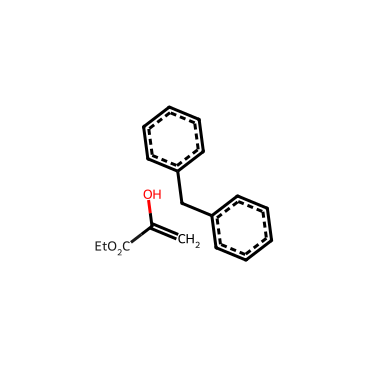 C=C(O)C(=O)OCC.c1ccc(Cc2ccccc2)cc1